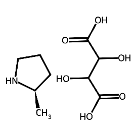 C[C@@H]1CCCN1.O=C(O)C(O)C(O)C(=O)O